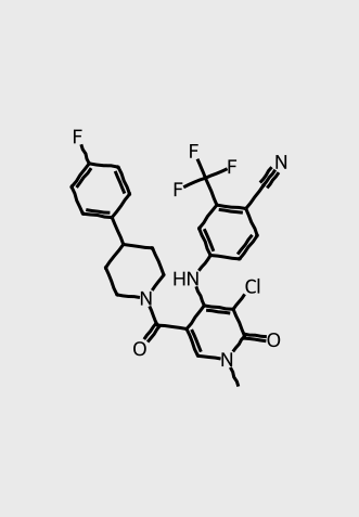 Cn1cc(C(=O)N2CCC(c3ccc(F)cc3)CC2)c(Nc2ccc(C#N)c(C(F)(F)F)c2)c(Cl)c1=O